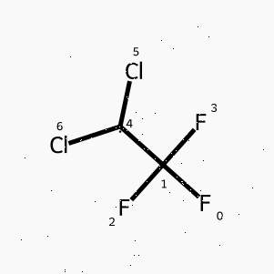 FC(F)(F)[C](Cl)Cl